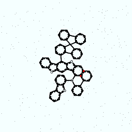 c1ccc(-c2ccccc2N(c2cccc3c2oc2ccccc23)c2cccc3oc4c(-c5cccc6c5-c5ccccc5C65c6ccccc6-c6ccccc65)c5c(cc4c23)oc2ccccc25)cc1